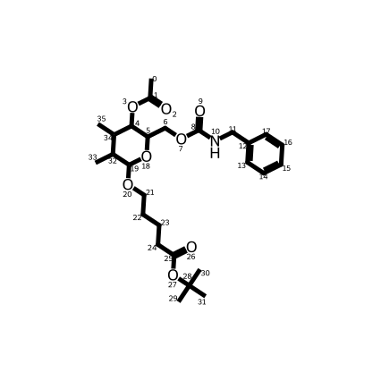 CC(=O)OC1C(COC(=O)NCc2ccccc2)OC(OCCCCC(=O)OC(C)(C)C)C(C)C1C